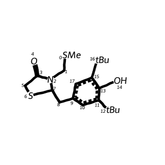 CSCN1C(=O)CSC1Cc1cc(C(C)(C)C)c(O)c(C(C)(C)C)c1